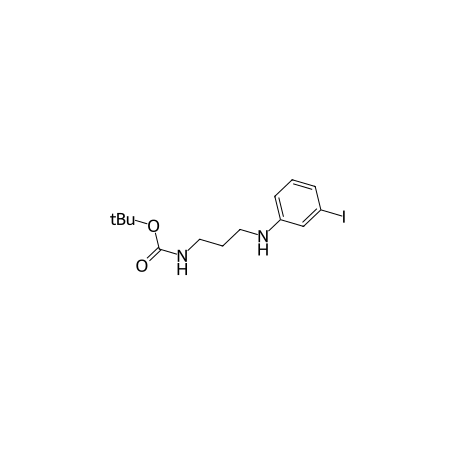 CC(C)(C)OC(=O)NCCCNc1cccc(I)c1